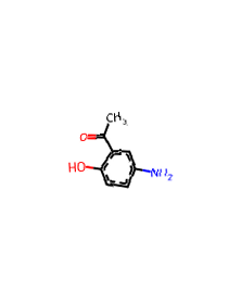 CC(=O)c1cc(N)ccc1O